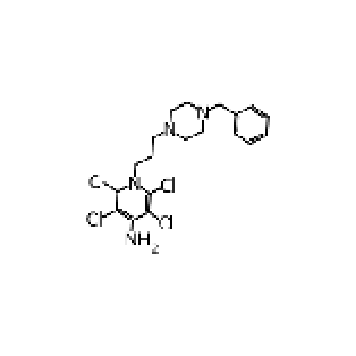 NC1=C(Cl)C(Cl)N(CCCN2CCN(Cc3ccccc3)CC2)C(Cl)=C1Cl